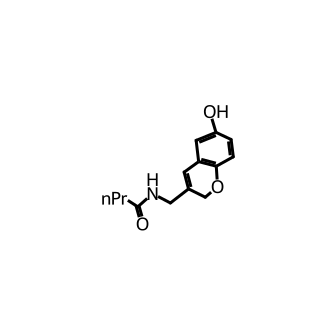 CCCC(=O)NCC1=Cc2cc(O)ccc2OC1